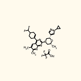 Cc1cc2c(C3=CCC(C(F)F)CC3)nc(N3C[C@@H](C)O[C@@H](c4cnn(C5CC5)c4)C3)nc2nc1C.O=C(O)C(F)(F)F